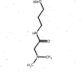 COCCCNC(=O)CN(C)C